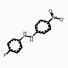 O=[N+]([O-])c1ccc(NNc2ccc(F)cc2)cc1